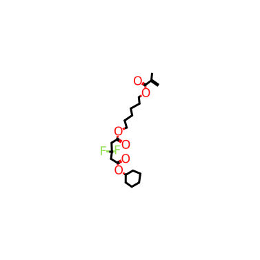 C=C(C)C(=O)OCCCCCCOC(=O)CC(F)(F)CC(=O)OC1CCCCC1